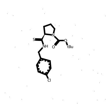 CC(C)(C)OC(=O)N1CCC[C@@H]1C(=S)NCc1ccc(Cl)cc1